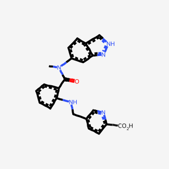 CN(C(=O)c1ccccc1NCc1ccc(C(=O)O)nc1)c1ccc2c[nH]nc2c1